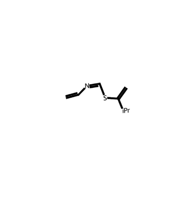 C=C/N=C\SC(=C)C(C)C